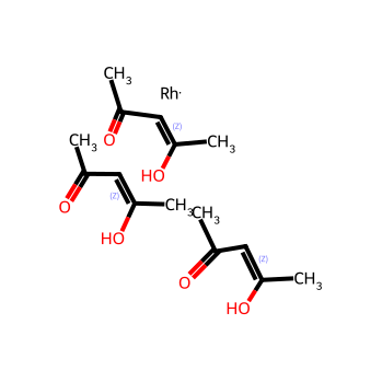 CC(=O)/C=C(/C)O.CC(=O)/C=C(/C)O.CC(=O)/C=C(/C)O.[Rh]